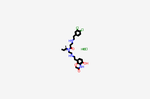 CC[C@@H](C)N(CCNCCc1ccc(O)c2c1OCC(=O)N2)C(=O)CCNCCc1ccc(Cl)c(Cl)c1.Cl.Cl